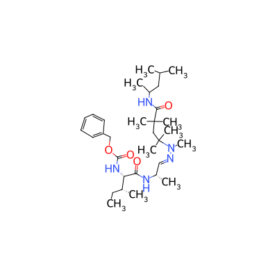 CC[C@@H](C)[C@H](NC(=O)OCc1ccccc1)C(=O)N[C@@H](C)/C=N/N(C)C(C)(C)CC(C)(C)C(=O)NC(C)CC(C)C